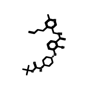 C=CCCc1cc(C)ncc1CNC(=C)c1cccc(O[C@H]2CC[C@H](NC(=O)OC(C)(C)C)CC2)c1Br